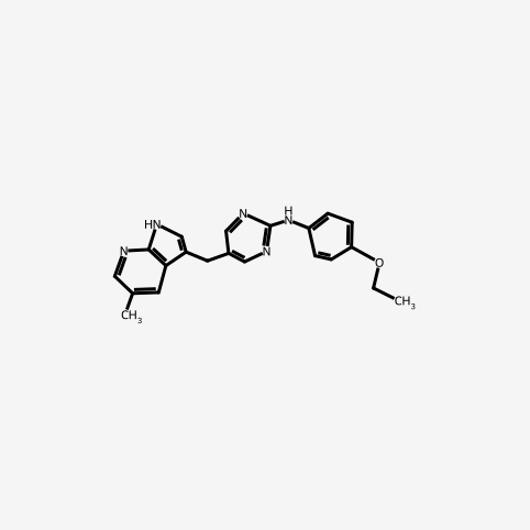 CCOc1ccc(Nc2ncc(Cc3c[nH]c4ncc(C)cc34)cn2)cc1